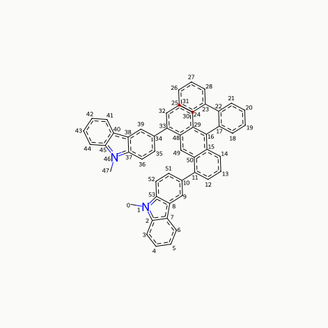 Cn1c2ccccc2c2cc(-c3cccc4c(-c5ccccc5-c5ccccc5)c5cccc(-c6ccc7c(c6)c6ccccc6n7C)c5cc34)ccc21